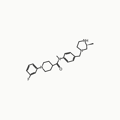 C[C@H]1CN(Cc2ccc(N(C)C(=O)C3CCN(c4cccc(F)c4)CC3)cc2)CCN1